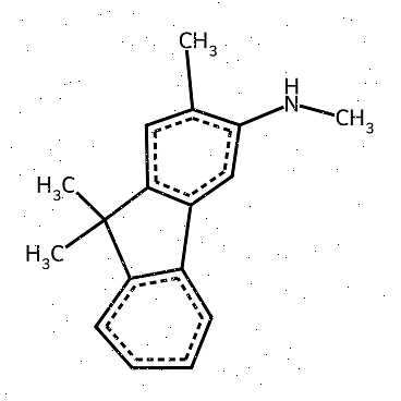 CNc1cc2c(cc1C)C(C)(C)c1ccccc1-2